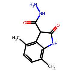 Cc1ccc(C)c2c1NC(=O)C2C(=O)NN